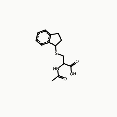 CC(=O)NC(CSC1CCc2ccccc21)C(=O)O